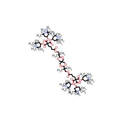 CC1(C)CC(OC(=O)C(CCCC(=O)OCC(C)(C)C2OCC3(CO2)COC(C(C)(C)COC(=O)CCCC(C(=O)OC2CC(C)(C)NC(C)(C)C2)(C(=O)OC2CC(C)(C)NC(C)(C)C2)C(=O)OC2CC(C)(C)NC(C)(C)C2)OC3)(C(=O)OC2CC(C)(C)NC(C)(C)C2)C(=O)OC2CC(C)(C)NC(C)(C)C2)CC(C)(C)N1